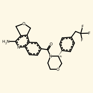 Nc1nc2ccc(C(=O)N3CCOC[C@H]3c3ccc(CC(F)(F)F)cc3)cc2c2c1COC2